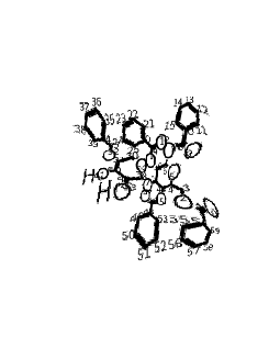 O=C(OCC1O[C@@H](OC(=O)c2ccccc2)C(OC(=O)c2ccccc2)C(O[C@H]2OC[C@@H](OCc3ccccc3)C(O)C2O)[C@@H]1OC(=O)c1ccccc1)c1ccccc1